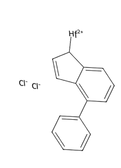 [Cl-].[Cl-].[Hf+2][CH]1C=Cc2c(-c3ccccc3)cccc21